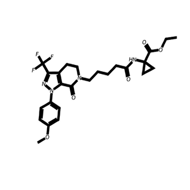 CCOC(=O)C1(NC(=O)CCCCN2CCc3c(C(F)(F)F)nn(-c4ccc(OC)cc4)c3C2=O)CC1